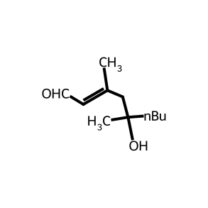 CCCCC(C)(O)CC(C)=CC=O